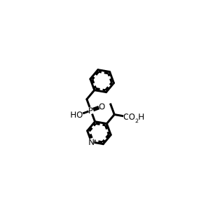 CC(C(=O)O)c1ccncc1P(=O)(O)Cc1ccccc1